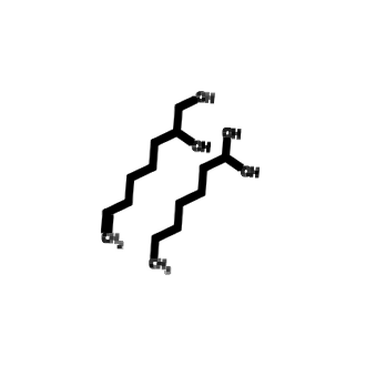 C=CCCCCC(O)CO.CCCCCCC(O)O